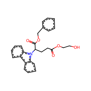 O=C(CCC(C(=O)OCc1ccccc1)n1c2ccccc2c2ccccc21)OCCO